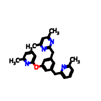 Cc1cccc(Cc2cc(Cc3nc(C)cc(C)n3)cc(Oc3cccc(C)n3)c2)n1